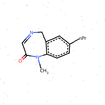 CCCc1ccc2c(c1)CN=CC(=O)N2C